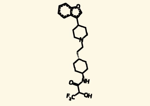 O=C(N[C@H]1CC[C@H](CCN2CCC(c3coc4ccccc34)CC2)CC1)C(O)C(F)(F)F